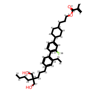 C=C(C)C(=O)OCCCC1CCC(c2ccc(-c3ccc(CCCC(CO)(CO)CCCC)cc3CC)c(F)c2)CC1